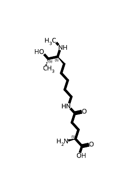 CN[C@@H](CCCCCNC(=O)CC[C@H](N)C(=O)O)[C@H](C)O